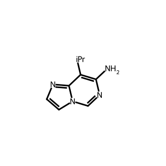 CC(C)c1c(N)ncn2ccnc12